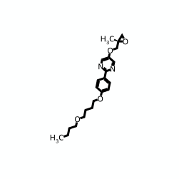 CCCCOCCCCOc1ccc(-c2ncc(OC[C@]3(C)CO3)cn2)cc1